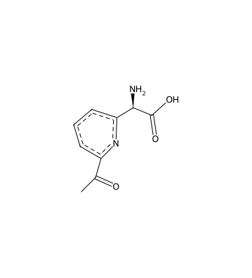 CC(=O)c1cccc([C@@H](N)C(=O)O)n1